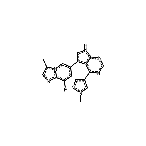 Cc1cnc2c(F)cc(-c3c[nH]c4ncnc(-c5cnn(C)c5)c34)cn12